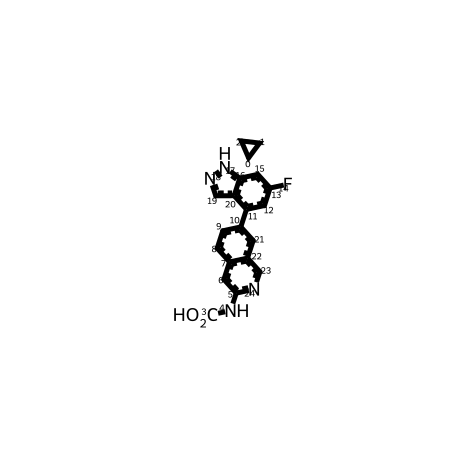 C1CC1.O=C(O)Nc1cc2ccc(-c3cc(F)cc4[nH]ncc34)cc2cn1